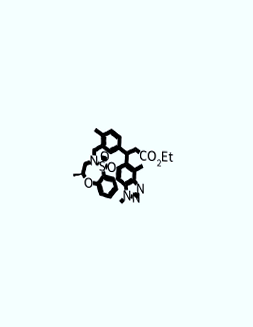 CCOC(=O)CC(c1ccc(C)c(CN2C[C@H](C)Oc3ccccc3S2(=O)=O)c1)c1ccc2c(nnn2C)c1C